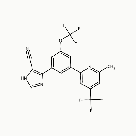 Cc1cc(C(F)(F)F)cc(-c2cc(OC(F)(F)F)cc(-c3nn[nH]c3C#N)c2)n1